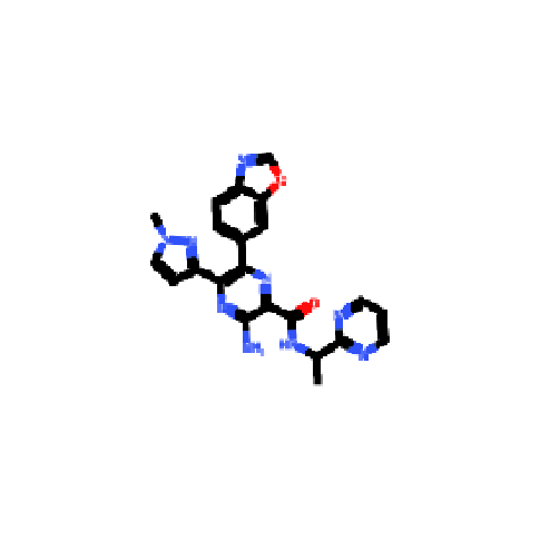 CC(NC(=O)c1nc(-c2ccc3ncoc3c2)c(-c2ccn(C)n2)nc1N)c1ncccn1